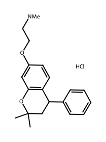 CNCCOc1ccc2c(c1)OC(C)(C)CC2c1ccccc1.Cl